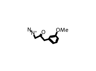 COc1cccc(CC(=O)C[N+]#N)c1